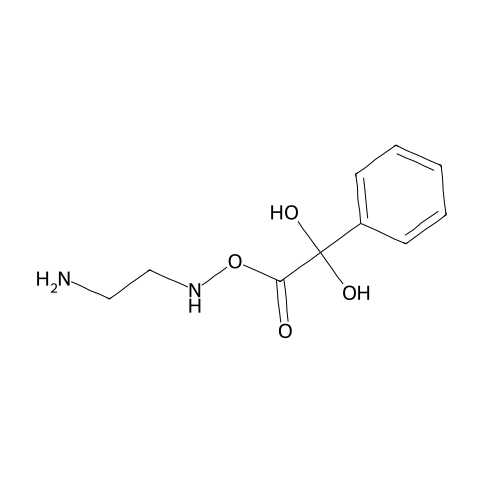 NCCNOC(=O)C(O)(O)c1ccccc1